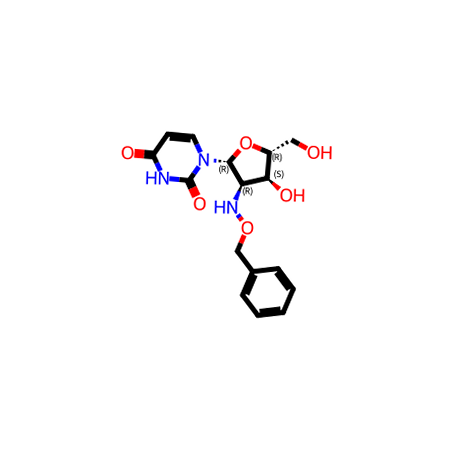 O=c1ccn([C@@H]2O[C@H](CO)[C@@H](O)[C@H]2NOCc2ccccc2)c(=O)[nH]1